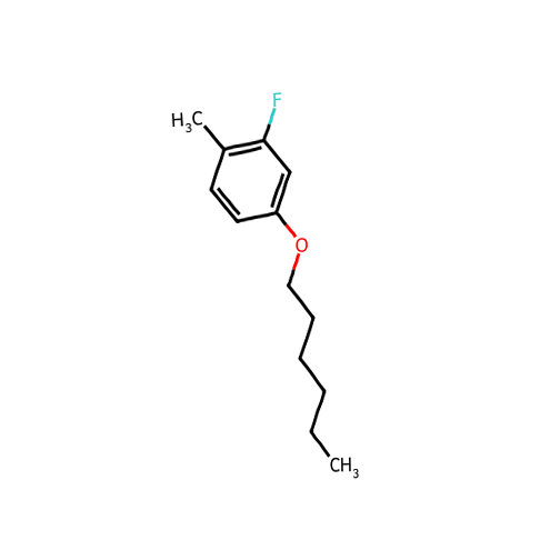 CCCCCCOc1ccc(C)c(F)c1